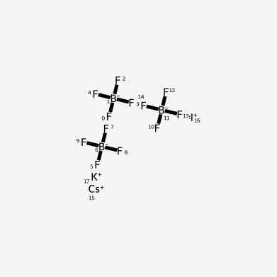 F[B-](F)(F)F.F[B-](F)(F)F.F[B-](F)(F)F.[Cs+].[I+].[K+]